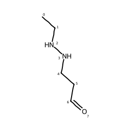 CCNNCCC=O